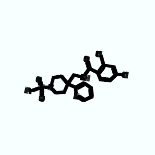 CC(C)S(=O)(=O)N1CCC(CNC(=O)c2ccc(Cl)cc2Cl)(c2ccccn2)CC1